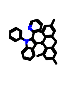 Cc1cc(C)c(B(c2c(C)cc(C)cc2C)c2c(-c3ccccn3)n(-c3ccccc3)c3ccccc23)c(C)c1